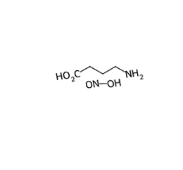 NCCCC(=O)O.O=NO